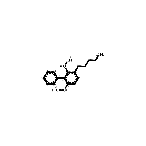 CCCCCc1ccc(OC)c(-c2ccccc2)c1OC